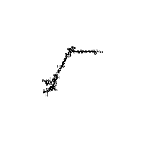 CC(=O)c1nn(CC(=O)N2[C@H](C(=O)Nc3nc(Br)ccc3C)C[C@@]3(CNC(=O)COCCOCCNC(=O)COCCOCCNC(=O)CC[C@H](NC(=O)CCCCCCCCCCCCCCCCC(=O)OC(C)(C)C)C(=O)OC(C)(C)C)C[C@@H]23)c2ccc(OC(=O)NC3CC3)cc12